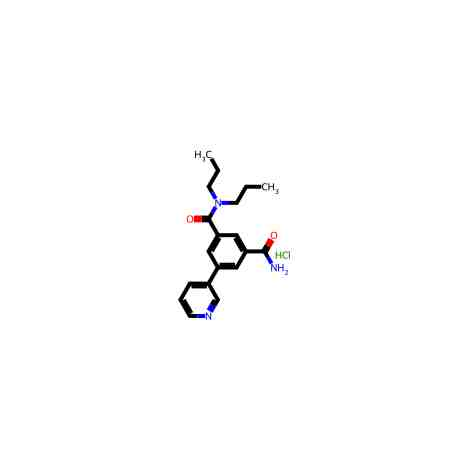 CCCN(CCC)C(=O)c1cc(C(N)=O)cc(-c2cccnc2)c1.Cl